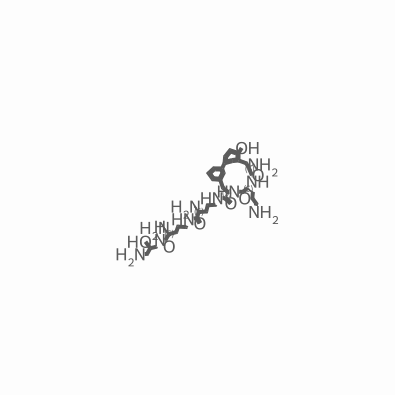 NCCC[C@@H]1NC(=O)[C@@H](N)Cc2cc(ccc2O)-c2cccc(c2)C[C@@H](C(=O)NCCC[C@H](N)C(=O)NCCC[C@H](N)C(=O)NCC(O)CN)NC1=O